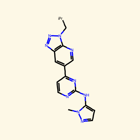 CC(C)Cn1nnc2cc(-c3ccnc(Nc4ccnn4C)n3)cnc21